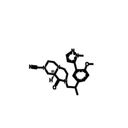 COc1ccc(C(C)CN2CCN3CCN(C#N)C[C@@H]3C2=O)cc1-c1ccnn1C